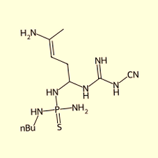 CCCCNP(N)(=S)NC(C/C=C(\C)N)NC(=N)NC#N